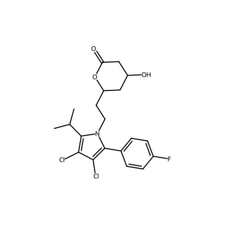 CC(C)c1c(Cl)c(Cl)c(-c2ccc(F)cc2)n1CCC1CC(O)CC(=O)O1